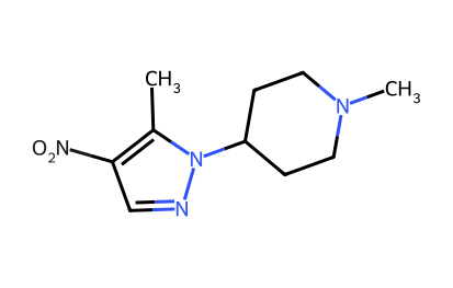 Cc1c([N+](=O)[O-])cnn1C1CCN(C)CC1